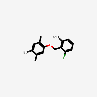 CCc1cc(C)c(OCc2c(F)cccc2OC(C)=O)cc1C